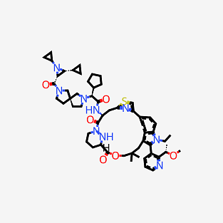 CCn1c(-c2cccnc2[C@H](C)OC)c2c3cc(ccc31)-c1csc(n1)C[C@H](NC(=O)[C@H](C1CCCC1)N1CC[C@]3(CCN(C(=O)[C@H]4[C@@H](C5CC5)N4C4CC4)C3)C1)C(=O)N1CCC[C@H](N1)C(=O)OCC(C)(C)C2